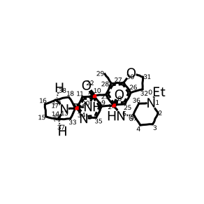 CCN1CCC[C@H](NC(=O)c2ccc(N3[C@@H]4CC[C@H]3C[C@@H](NC(=O)c3ccc5c(c3C)OCC5)C4)nc2)C1